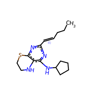 CCC/C=C/c1nc(NC2CCCC2)c2c(n1)SCCN2